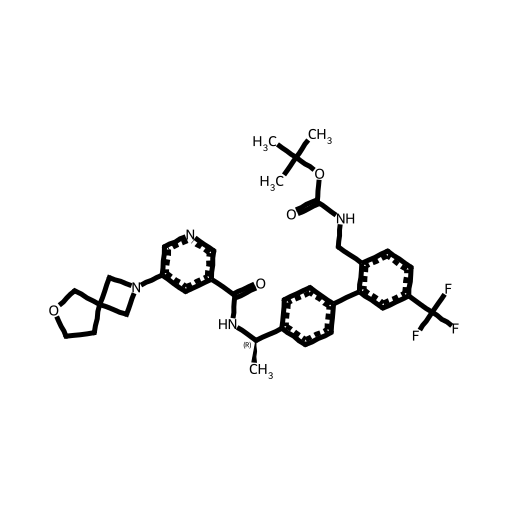 C[C@@H](NC(=O)c1cncc(N2CC3(CCOC3)C2)c1)c1ccc(-c2cc(C(F)(F)F)ccc2CNC(=O)OC(C)(C)C)cc1